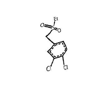 CCS(=O)(=O)Cc1ccc(Cl)c(Cl)c1